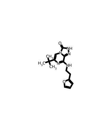 CC(C)(C)c1cn2c(=O)[nH]nc2c(NCCc2ccco2)n1